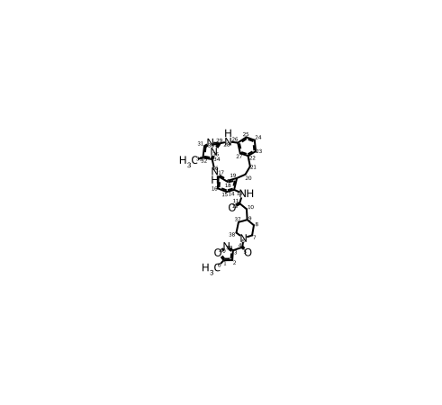 Cc1cc(C(=O)N2CCC(CC(=O)Nc3ccc4cc3CCc3cccc(c3)Nc3ncc(C)c(n3)N4)CC2)no1